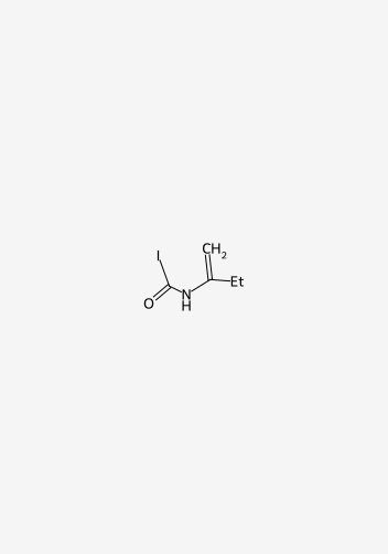 C=C(CC)NC(=O)I